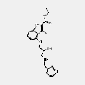 CCOC(=O)c1oc2cccc(OCC(O)CNCc3cccnc3)c2c1C